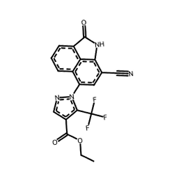 CCOC(=O)c1cnn(-c2cc(C#N)c3c4c(cccc24)C(=O)N3)c1C(F)(F)F